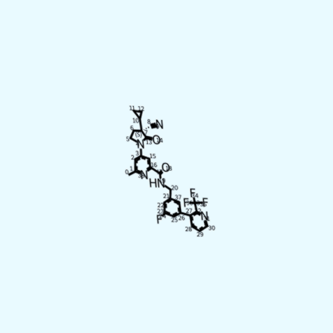 Cc1cc(N2CC[C@@](C#N)(C3CC3)C2=O)cc(C(=O)NCc2cc(F)cc(-c3cccnc3C(F)(F)F)c2)n1